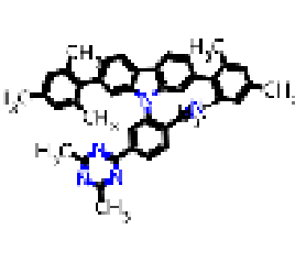 Cc1cc(C)c(-c2ccc3c4ccc(-c5c(C)cc(C)cc5C)cc4n(-c4cc(-c5nc(C)nc(C)n5)ccc4C#N)c3c2)c(C)c1